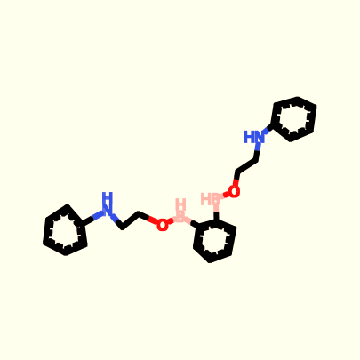 B(OCCNc1ccccc1)c1ccccc1BOCCNc1ccccc1